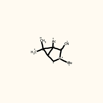 CC(=O)C12C(C#N)N(C(C)(C)C)CC1C2(C)C